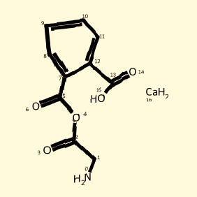 NCC(=O)OC(=O)c1ccccc1C(=O)O.[CaH2]